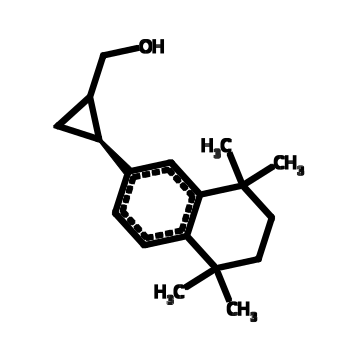 CC1(C)CCC(C)(C)c2cc([C@H]3CC3CO)ccc21